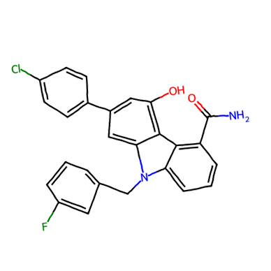 NC(=O)c1cccc2c1c1c(O)cc(-c3ccc(Cl)cc3)cc1n2Cc1cccc(F)c1